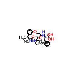 COCC(C)(C)NC(=O)C(C#N)C(C)c1cccc(OCCC(=O)N[C@@H](Cc2ccccc2)B(O)O)c1